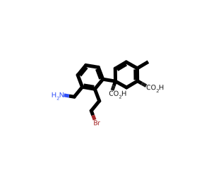 CC1=C(C(=O)O)CC(C(=O)O)(c2cccc(CN)c2CCBr)C=C1